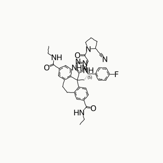 CCNC(=O)c1ccc2c(c1)CCc1cc(C(=O)NCC)ccc1C2(C[C@H](NCC(=O)N1CCCC1C#N)c1ccc(F)cc1)c1nnn[nH]1